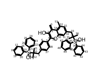 C=C1C(O)=C(c2ccc(CC(C)(C)[Si](O)(c3ccccc3)c3ccccc3)cc2)Oc2cc(CC(C)(C)[Si](O)(c3ccccc3)c3ccccc3)cc(C)c21